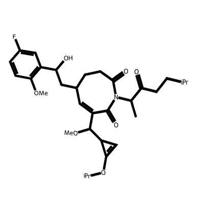 COc1ccc(F)cc1C(O)CC1/C=C(/C(OC)C2C=C2OC(C)C)C(=O)N(C(C)C(=O)CCC(C)C)C(=O)CC1